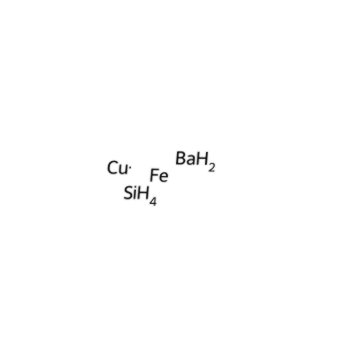 [BaH2].[Cu].[Fe].[SiH4]